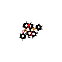 c1ccc(OP(c2ccccc2)c2ccccc2-c2ccccc2P(c2ccccc2)c2ccccc2)cc1